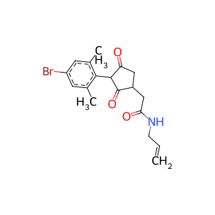 C=CCNC(=O)CC1CC(=O)C(c2c(C)cc(Br)cc2C)C1=O